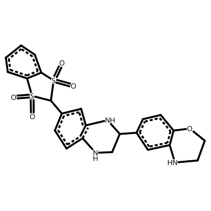 O=S1(=O)c2ccccc2S(=O)(=O)C1c1ccc2c(c1)NC(c1ccc3c(c1)NCCO3)CN2